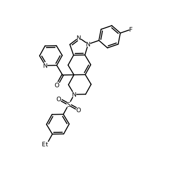 CCc1ccc(S(=O)(=O)N2CCC3=Cc4c(cnn4-c4ccc(F)cc4)CC3(C(=O)c3ccccn3)C2)cc1